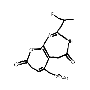 CCCCCc1cc(=O)oc2nc(C(C)F)[nH]c(=O)c12